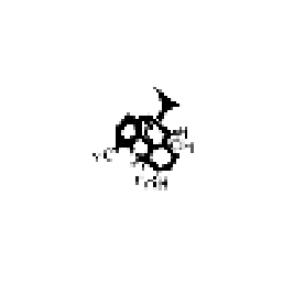 Oc1ccc2c3c1O[C@H]1[C@@H](O)CC[C@@]4(O)[C@@H](C2)N(C2CC2)CC[C@]314